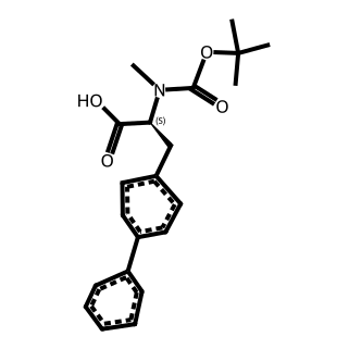 CN(C(=O)OC(C)(C)C)[C@@H](Cc1ccc(-c2ccccc2)cc1)C(=O)O